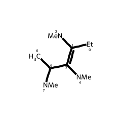 CC/C(NC)=C(\NC)C(C)NC